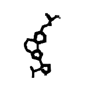 CC(C)n1nccc1-c1cn2c(n1)-c1ccc(CNC(N)=O)cc1OCC2